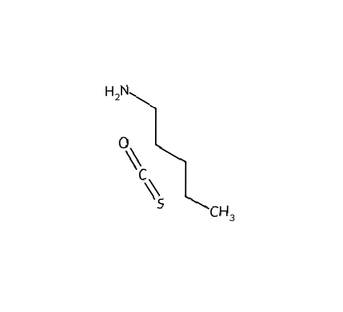 CCCCCN.O=C=S